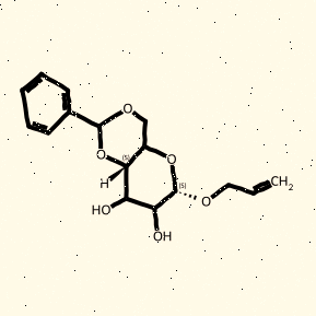 C=CCO[C@H]1OC2COC(c3ccccc3)O[C@H]2C(O)C1O